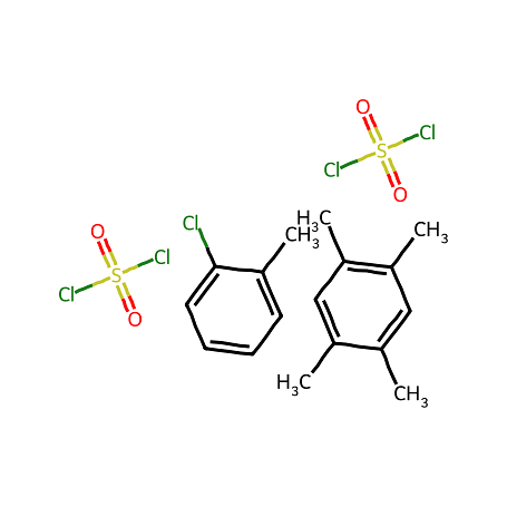 Cc1cc(C)c(C)cc1C.Cc1ccccc1Cl.O=S(=O)(Cl)Cl.O=S(=O)(Cl)Cl